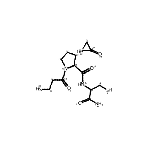 NC(=O)C(CS)NC(=O)C1CCCN1C(=O)CCS.O=C1CN1